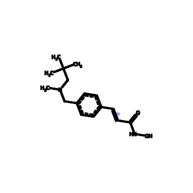 CN(Cc1ccc(/C=C/C(=O)NO)cc1)CC(C)(C)C